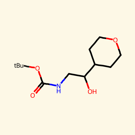 CC(C)(C)OC(=O)NCC(O)C1CCOCC1